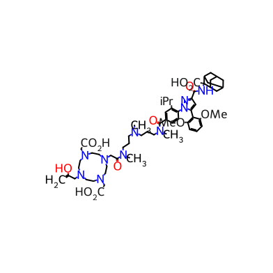 C=C(O)CN1CCN(CC(=O)O)CCN(CC(=O)N(C)CCCN(C)CCCN(C)C(=O)c2ccc(-n3nc(C(=O)NC4(C(=O)O)C5CC6CC(C5)CC4C6)cc3-c3c(OC)cccc3OC)c(C(C)C)c2)CCN(CC(=O)O)CC1